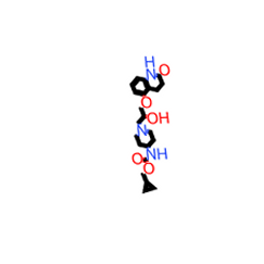 O=C1CCc2c(cccc2OCC(O)CN2CCC(NC(=O)OCC3CC3)CC2)N1